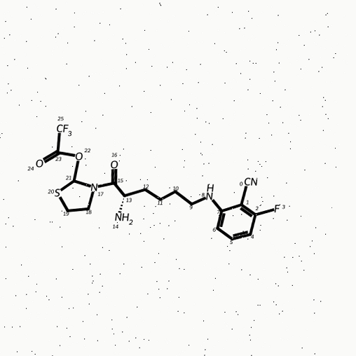 N#Cc1c(F)cccc1NCCCC[C@H](N)C(=O)N1CCSC1OC(=O)C(F)(F)F